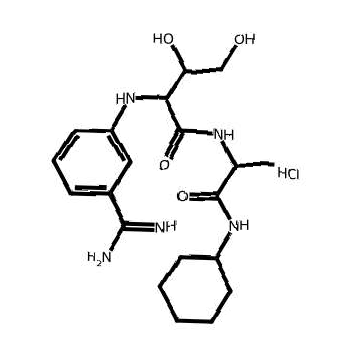 CC(NC(=O)C(Nc1cccc(C(=N)N)c1)C(O)CO)C(=O)NC1CCCCC1.Cl